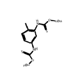 CCCCOC(=S)Nc1ccc(C)c(NC(=S)OCCCC)c1